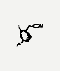 OCc1ccc(F)cc1I